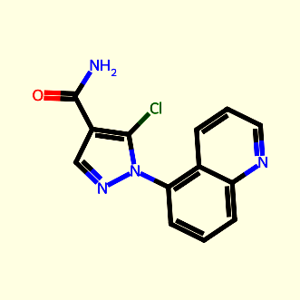 NC(=O)c1cnn(-c2cccc3ncccc23)c1Cl